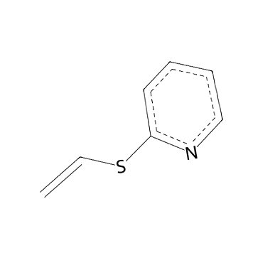 C=CSc1ccccn1